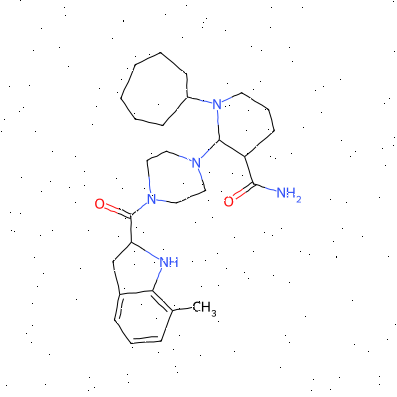 Cc1cccc2c1NC(C(=O)N1CCN(C3C(C(N)=O)CCCN3C3CCCCCC3)CC1)C2